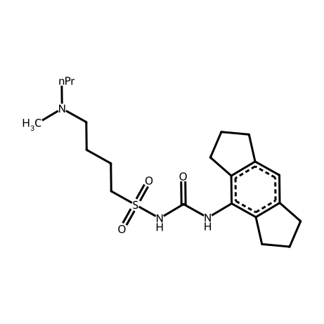 CCCN(C)CCCCS(=O)(=O)NC(=O)Nc1c2c(cc3c1CCC3)CCC2